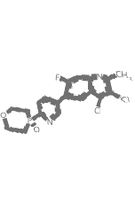 Cc1nc2cc(F)c(-c3ccc(P4(=O)CCOCC4)nc3)cc2c(Cl)c1Cl